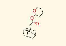 O=C(CC12CC3CC(CC(C3)C1)C2)OC1CCCCO1